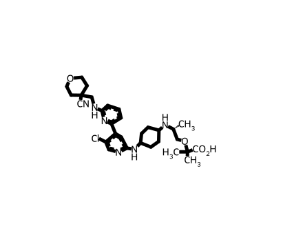 C[C@H](COC(C)(C)C(=O)O)NC1CCC(Nc2cc(-c3cccc(NCC4(C#N)CCOCC4)n3)c(Cl)cn2)CC1